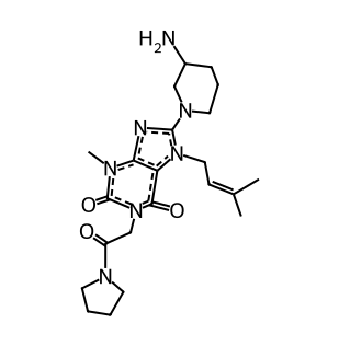 CC(C)=CCn1c(N2CCCC(N)C2)nc2c1c(=O)n(CC(=O)N1CCCC1)c(=O)n2C